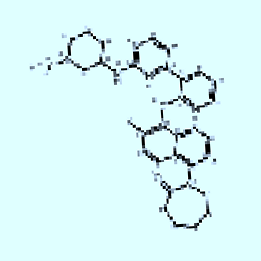 Cc1ccc2c(N3CCCCCC3=O)cccc2c1Oc1ncccc1-c1ccnc(NC2CCCN(C(=O)O)C2)n1